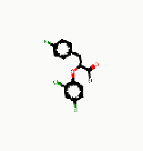 CCC(=O)C(Cc1ccc(F)cc1)Oc1ccc(Cl)cc1Cl